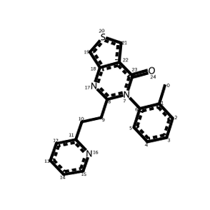 Cc1ccccc1-n1c(CCc2ccccn2)nc2cscc2c1=O